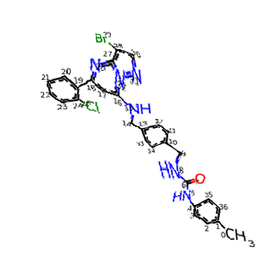 Cc1ccc(NC(=O)NCc2ccc(CNc3cc(-c4ccccc4Cl)nc4c(Br)cnn34)cc2)cc1